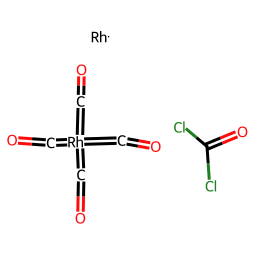 O=C(Cl)Cl.O=[C]=[Rh](=[C]=O)(=[C]=O)=[C]=O.[Rh]